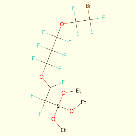 CCO[Si](OCC)(OCC)C(F)(F)C(F)OC(F)(F)C(F)(F)C(F)(F)OC(F)(F)C(F)(F)Br